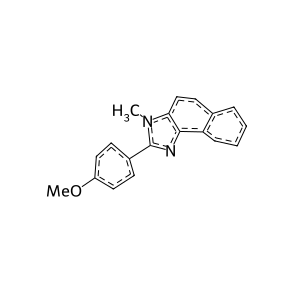 COc1ccc(-c2nc3c4ccccc4ccc3n2C)cc1